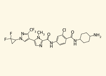 Cn1c(-c2cn(C3CC3(F)F)nc2C(F)(F)F)cnc1C(=O)Nc1ccc(C(=O)NC2CCC(N)CC2)c(Cl)c1